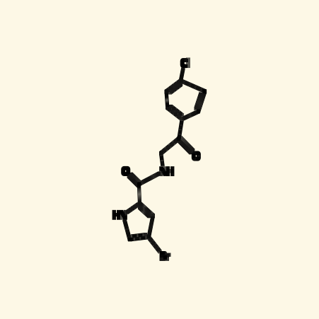 O=C(CNC(=O)c1cc(Br)c[nH]1)c1ccc(Cl)cc1